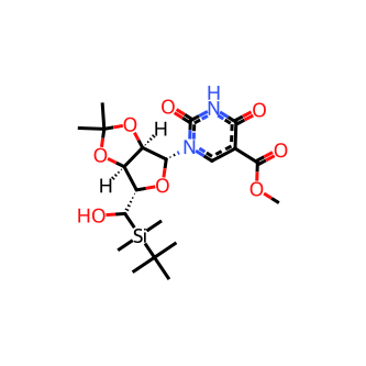 COC(=O)c1cn([C@@H]2O[C@H](C(O)[Si](C)(C)C(C)(C)C)[C@H]3OC(C)(C)O[C@H]32)c(=O)[nH]c1=O